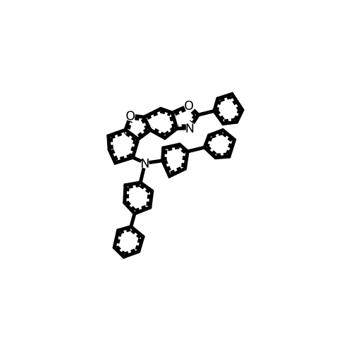 c1ccc(-c2ccc(N(c3ccc(-c4ccccc4)cc3)c3cccc4oc5cc6oc(-c7ccccc7)nc6cc5c34)cc2)cc1